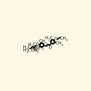 CCCOc1c(C)cc(C(=O)/C=C/c2cc(C)c(OC(C)(C)C(=O)CC(C)(C)C)c(C)c2)cc1C